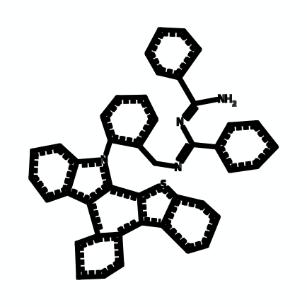 N/C(=N\C(=N/Cc1ccccc1-n1c2ccccc2c2c3ccccc3c3c4ccccc4sc3c21)c1ccccc1)c1ccccc1